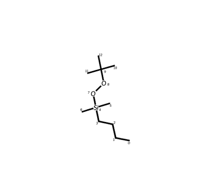 CCCC[Si](C)(C)OOC(C)(C)C